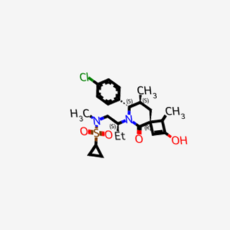 CC[C@@H](CN(C)S(=O)(=O)C1CC1)N1C(=O)[C@]2(C=C(O)C2C)C[C@H](C)[C@H]1c1ccc(Cl)cc1